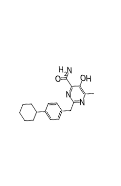 Cc1nc(Cc2ccc(C3CCCCC3)cc2)nc(C(N)=O)c1O